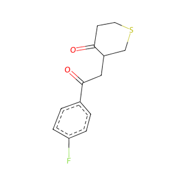 O=C(CC1CSCCC1=O)c1ccc(F)cc1